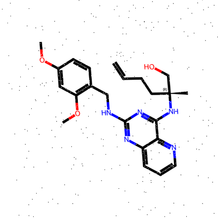 C=CCC[C@](C)(CO)Nc1nc(NCc2ccc(OC)cc2OC)nc2cccnc12